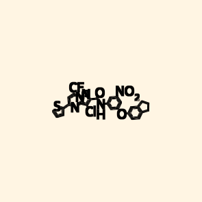 O=C(Nc1cc(Oc2ccc3c(c2)CCC3)cc([N+](=O)[O-])c1)c1nn2c(C(F)(F)F)cc(-c3cccs3)nc2c1Cl